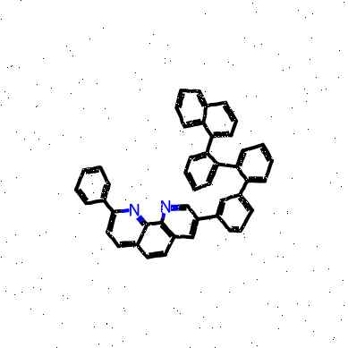 c1ccc(-c2ccc3ccc4cc(-c5cccc(-c6ccccc6-c6ccccc6-c6cccc7ccccc67)c5)cnc4c3n2)cc1